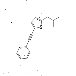 CC(C)Cc1ccc(C#Cc2ccccc2)s1